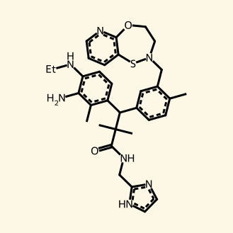 CCNc1ccc(C(c2ccc(C)c(CN3CCOc4ncccc4S3)c2)C(C)(C)C(=O)NCc2ncc[nH]2)c(C)c1N